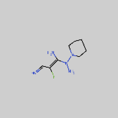 N=C/C(F)=C(\N)N(N)N1CCCCC1